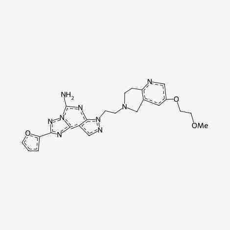 COCCOc1cnc2c(c1)CN(CCn1ncc3c1nc(N)n1nc(-c4ccco4)nc31)CC2